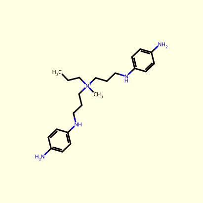 CCC[N+](C)(CCCNc1ccc(N)cc1)CCCNc1ccc(N)cc1